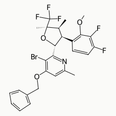 COc1c([C@H]2[C@H](c3nc(C)cc(OCc4ccccc4)c3Br)O[C@@](C)(C(F)(F)F)[C@H]2C)ccc(F)c1F